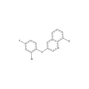 Fc1ccc(Oc2cnc3c(Cl)cccc3c2)c(Br)c1